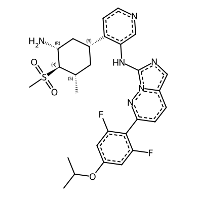 CC(C)Oc1cc(F)c(-c2ccc3cnc(Nc4cnccc4[C@H]4C[C@@H](N)[C@H](S(C)(=O)=O)[C@@H](C)C4)n3n2)c(F)c1